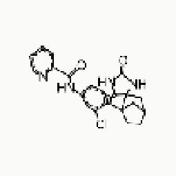 O=C1NC(=O)C2(CC3CCC2(c2ccc(NC(=O)c4ccccn4)cc2Cl)C3)N1